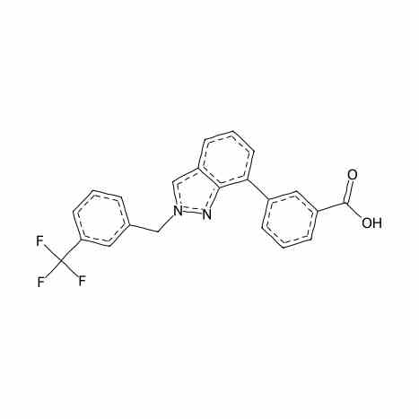 O=C(O)c1cccc(-c2cccc3cn(Cc4cccc(C(F)(F)F)c4)nc23)c1